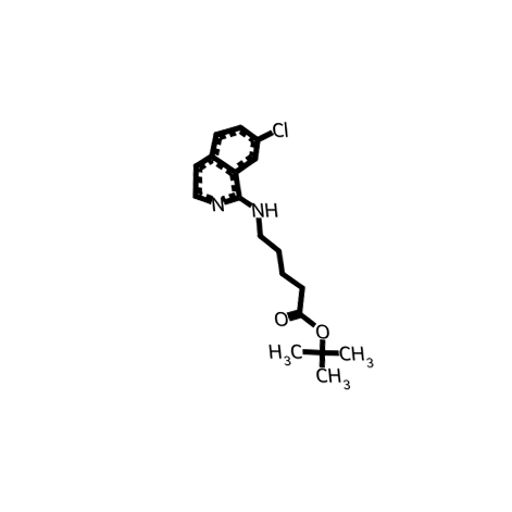 CC(C)(C)OC(=O)CCCCNc1nccc2ccc(Cl)cc12